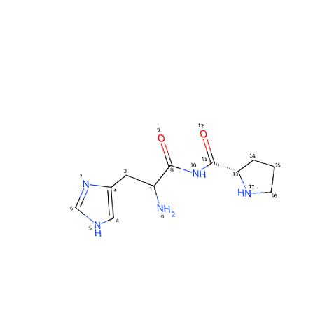 NC(Cc1c[nH]cn1)C(=O)NC(=O)[C@@H]1CCCN1